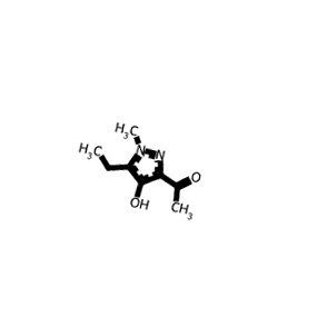 CCc1c(O)c(C(C)=O)nn1C